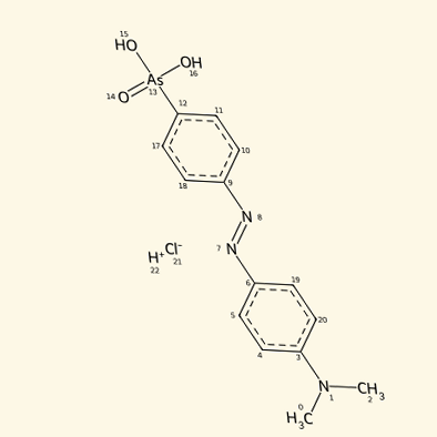 CN(C)c1ccc(N=Nc2ccc([As](=O)(O)O)cc2)cc1.[Cl-].[H+]